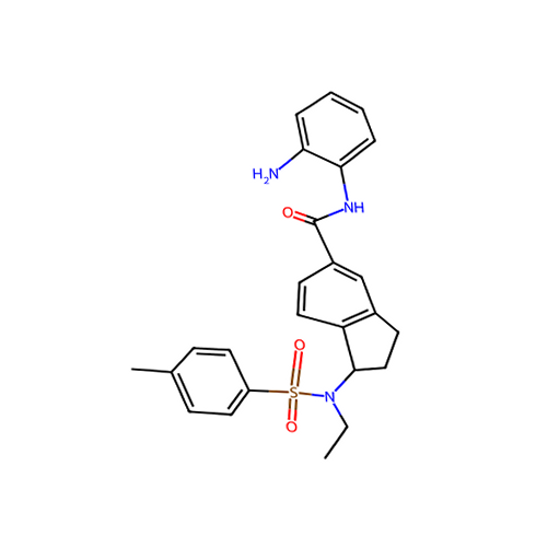 CCN(C1CCc2cc(C(=O)Nc3ccccc3N)ccc21)S(=O)(=O)c1ccc(C)cc1